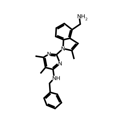 Cc1nc(-n2c(C)cc3c(CN)cccc32)nc(NCc2ccccc2)c1C